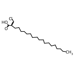 CCCCCCCCCCCCCCCCCCC(=CCl)C(=O)O